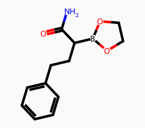 NC(=O)C(CCc1ccccc1)B1OCCO1